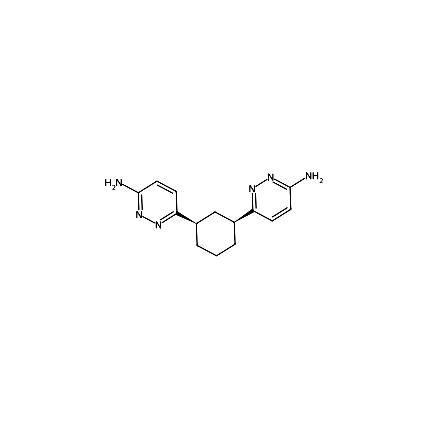 Nc1ccc([C@@H]2CCC[C@H](c3ccc(N)nn3)C2)nn1